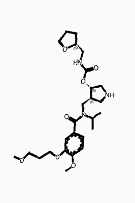 COCCCOc1cc(C(=O)N(C[C@@H]2CNC[C@H]2OC(=O)NC[C@@H]2CCCO2)C(C)C)ccc1OC